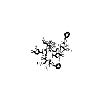 CC(C)[C@H](NC(=O)OCc1ccccc1)C(=O)OCCC(OC(=O)c1ccc(=O)[nH]c1)OP(=O)(OC(CCOC(=O)[C@@H](NC(=O)OCc1ccccc1)C(C)C)OC(=O)c1ccc(=O)[nH]c1)C(O)(CCCN)P(=O)(O)O